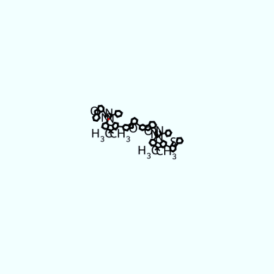 CC1(C)c2cc(-c3cccc4c3sc3ccccc34)ccc2-c2c(-c3nc(-c4ccccc4)nc(-c4cccc5c4oc4ccc(-c6cccc7c6oc6ccc(-c8ccc9c(c8)C(C)(C)c8cccc(-c%10nc(-c%11ccccc%11)nc(-c%11cccc%12oc%13ccccc%13c%11%12)n%10)c8-9)cc67)cc45)n3)cccc21